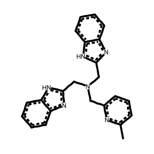 Cc1cccc(CN(Cc2nc3ccccc3[nH]2)Cc2nc3ccccc3[nH]2)n1